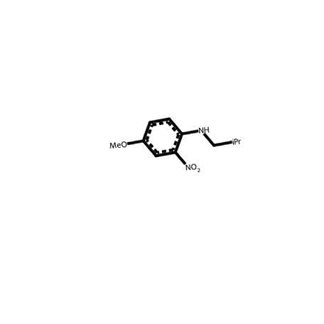 COc1ccc(NCC(C)C)c([N+](=O)[O-])c1